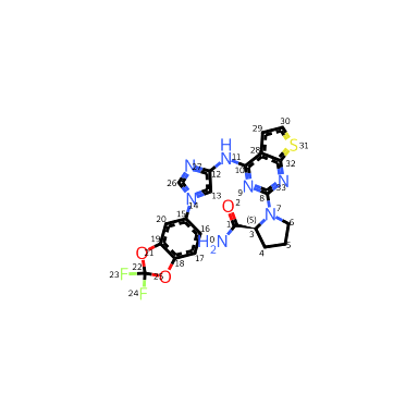 NC(=O)[C@@H]1CCCN1c1nc(Nc2cn(-c3ccc4c(c3)OC(F)(F)O4)cn2)c2ccsc2n1